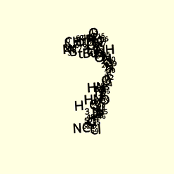 Cc1ncsc1-c1ccc(CNC(=O)[C@@H]2CCCN2C(=O)[C@@H](NC(=O)CN2CCN(CCCOCc3cc(C(=O)N[C@@H](C)Cn4ccc(-c5ccc(C#N)c(Cl)c5)n4)n[nH]3)CC2)C(C)(C)C)cc1